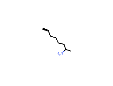 C=CCCCCC(C)N